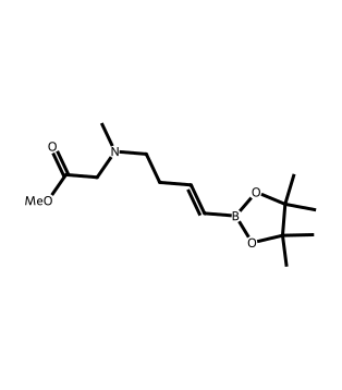 COC(=O)CN(C)CC/C=C/B1OC(C)(C)C(C)(C)O1